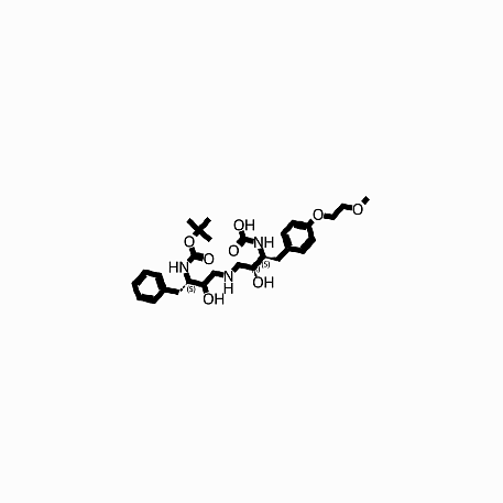 COCCOc1ccc(C[C@H](NC(=O)O)[C@H](O)CNCC(O)[C@H](Cc2ccccc2)NC(=O)OC(C)(C)C)cc1